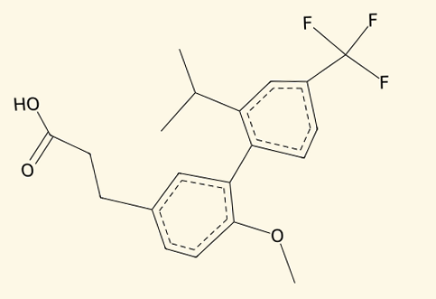 COc1ccc(CCC(=O)O)cc1-c1ccc(C(F)(F)F)cc1C(C)C